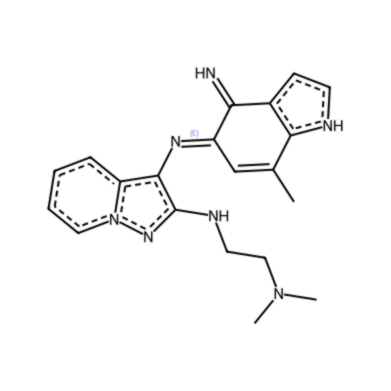 CC1=C/C(=N\c2c(NCCN(C)C)nn3ccccc23)C(=N)c2cc[nH]c21